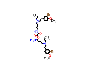 CCCN(CCCCNC(=O)C(=O)OC(N)CCCN(CCC)CCc1ccc(OC)c(Br)c1)CCc1ccc(OC)c(Br)c1